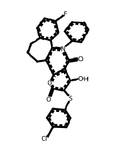 O=c1oc2c3c(n(-c4ccccc4)c(=O)c2c(O)c1Sc1ccc(Cl)cc1)-c1cc(F)ccc1CCC3